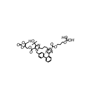 CCCc1nc(C(C)(C)O)c(C(=O)OCc2oc(=O)oc2C)n1Cc1ccc(-c2ccccc2-c2nnn(C(=O)OCCCON(O)O)n2)cc1